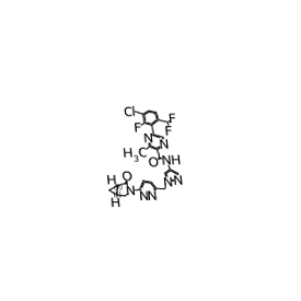 Cc1nc(-c2c(C(F)F)ccc(Cl)c2F)cnc1C(=O)Nc1cnn(Cc2ccc(N3C[C@H]4C[C@H]4C3=O)nn2)c1